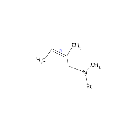 C/C=C(/C)CN(C)CC